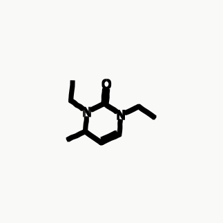 CCN1C=CC(C)N(CC)C1=O